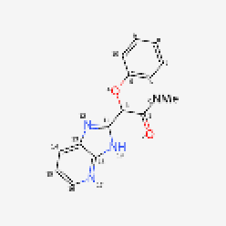 CNC(=O)C(Oc1ccccc1)c1nc2cccnc2[nH]1